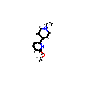 CCCN1CCC(c2cccc(OC(F)(F)F)n2)CC1